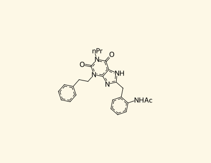 CCCn1c(=O)c2[nH]c(Cc3ccccc3NC(C)=O)nc2n(CCc2ccccc2)c1=O